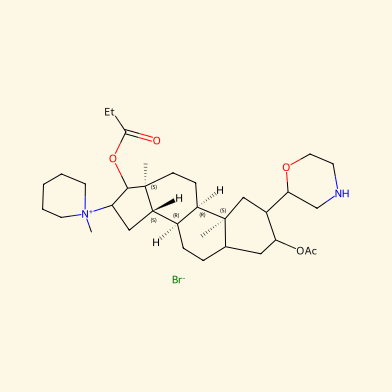 CCC(=O)OC1C([N+]2(C)CCCCC2)C[C@H]2[C@@H]3CCC4CC(OC(C)=O)C(C5CNCCO5)C[C@]4(C)[C@@H]3CC[C@]12C.[Br-]